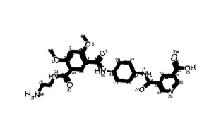 COc1cc(OC)c(C(=O)N[C@H]2CC[C@H](NC(=O)c3cncc(C(=O)O)c3)CC2)cc1C(=O)NCCN